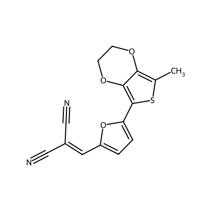 Cc1sc(-c2ccc(C=C(C#N)C#N)o2)c2c1OCCO2